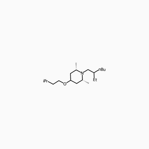 CCCCC(CC)CN1[C@H](C)CC(OCCC(C)C)C[C@@H]1C